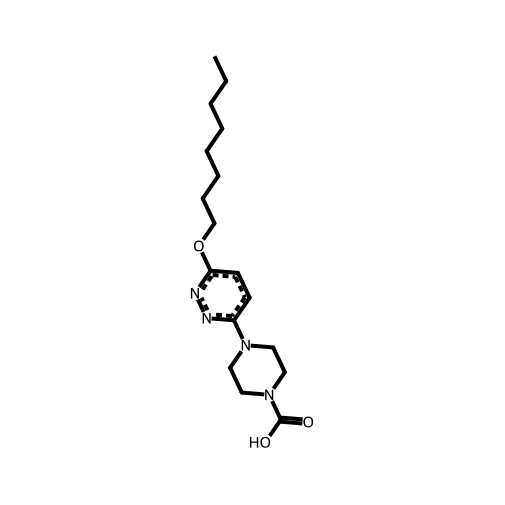 CCCCCCCCOc1ccc(N2CCN(C(=O)O)CC2)nn1